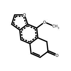 COc1c2c(cc3ccoc13)C=CC(=O)C2